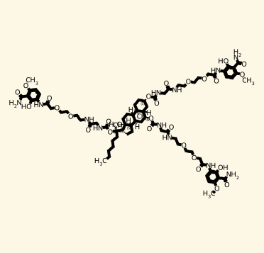 CCCCCC[C@](C)(OC(=O)NCC(=O)NCCOCCOCC(=O)Nc1ccc(OC)c(C(N)=O)c1O)[C@H]1CC[C@H]2[C@@H]3C[C@H](OC(=O)NCC(=O)NCCOCCOCC(=O)Nc4ccc(OC)c(C(N)=O)c4O)[C@H]4C[C@@H](OC(=O)NCC(=O)NCCOCCOCC(=O)Nc5ccc(OC)c(C(N)=O)c5O)CC[C@]4(C)[C@H]3CC[C@@]21C